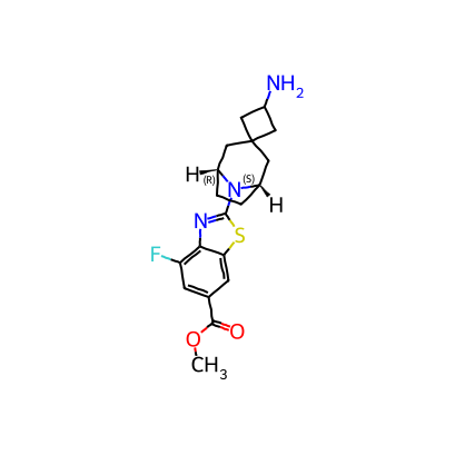 COC(=O)c1cc(F)c2nc(N3[C@@H]4CC[C@H]3CC3(CC(N)C3)C4)sc2c1